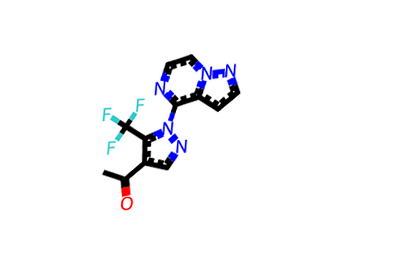 CC(=O)c1cnn(-c2nccn3nccc23)c1C(F)(F)F